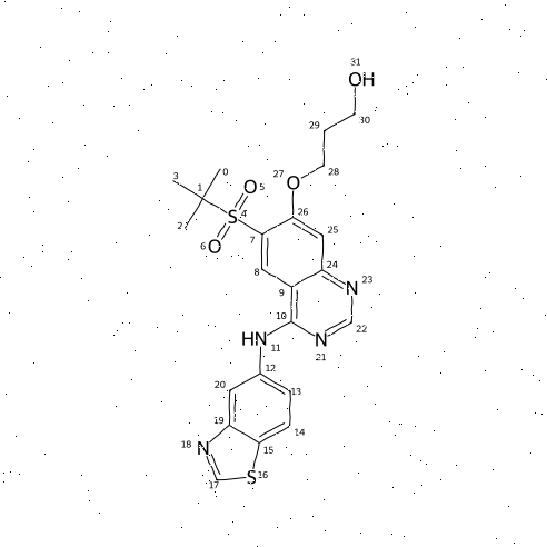 CC(C)(C)S(=O)(=O)c1cc2c(Nc3ccc4scnc4c3)ncnc2cc1OCCCO